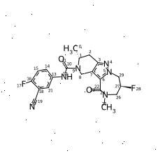 C[C@@H]1Cc2nn3c(c2CN1C(=O)Nc1ccc(F)c(C#N)c1)C(=O)N(C)C[C@H](F)C3